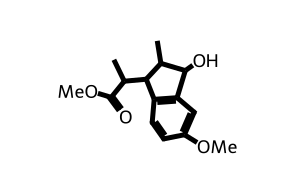 COC(=O)C(C)C1c2ccc(OC)cc2C(O)C1C